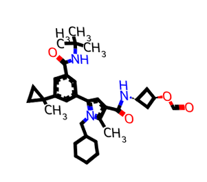 Cc1c(C(=O)N[C@H]2C[C@H](OC=O)C2)cc(-c2cc(C(=O)NC(C)(C)C)cc(C3(C)CC3)c2)n1CC1CCCCC1